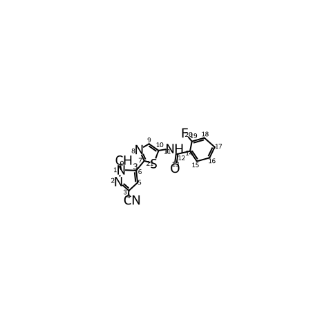 Cn1nc(C#N)cc1-c1ncc(NC(=O)c2ccccc2F)s1